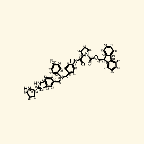 O=C(Nc1ccc(CN(Cc2ccc3[nH]c([C@@H]4CCCN4)nc3c2)c2ccc(F)cc2)cc1)C1CCCN1C(=O)OCC1c2ccccc2-c2ccccc21